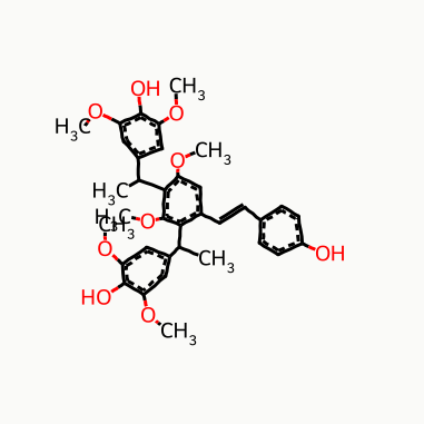 COc1cc(C(C)c2c(/C=C/c3ccc(O)cc3)cc(OC)c(C(C)c3cc(OC)c(O)c(OC)c3)c2OC)cc(OC)c1O